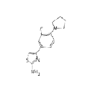 Nc1nc(-c2ccc(N3CCCC3)c(F)c2)cs1